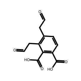 O=CCc1ccc(C(=O)O)c(C(=O)O)c1CC=O